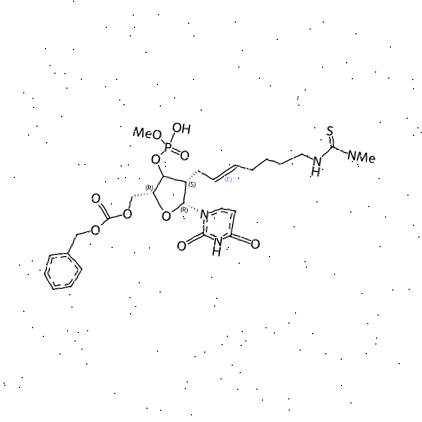 CNC(=S)NCCCC/C=C/C[C@H]1C(OP(=O)(O)OC)[C@@H](COC(=O)OCc2ccccc2)O[C@H]1n1ccc(=O)[nH]c1=O